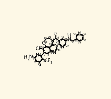 Cc1cc(N)nc(-c2cc3ncnc4c3c(c2Cl)OCCN4C(C)c2cncc(NCc3cccnc3)c2)c1C(F)(F)F